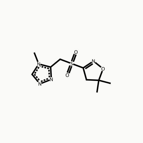 Cn1cnnc1CS(=O)(=O)C1=NOC(C)(C)C1